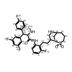 O=C(O)NC(C(=O)Nc1cccc(F)c1CCC1CNC2CCCS(=O)(=O)N1C2)C(c1ccc(F)cc1)c1cc(F)cc(F)c1